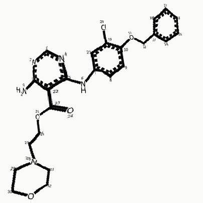 Nc1ncnc(Nc2ccc(OCc3ccccc3)c(Cl)c2)c1C(=O)OCCN1CCOCC1